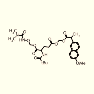 COc1ccc2cc(C(C)C(=O)OCOC(=O)CCC(NC(=O)C(C)(C)C)C(=O)OCONC(=O)N(C)C)ccc2c1